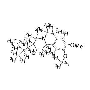 [2H]c1c(OC)c(OC([2H])([2H])[2H])c([2H])c2c1C([2H])([2H])C([2H])([2H])N1C([2H])([2H])C([2H])(C([2H])([2H])C([2H])(C([2H])([2H])[2H])C([2H])([2H])C)C(=O)C([2H])([2H])C21[2H]